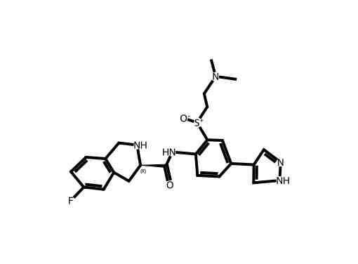 CN(C)CC[S+]([O-])c1cc(-c2cn[nH]c2)ccc1NC(=O)[C@H]1Cc2cc(F)ccc2CN1